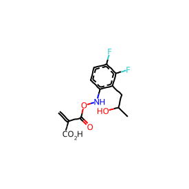 C=C(C(=O)O)C(=O)ONc1ccc(F)c(F)c1CC(C)O